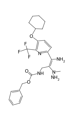 CN(N)/C(CNC(=O)OCc1ccccc1)=C(\N)c1ccc(OC2CCCCC2)c(C(F)(F)F)n1